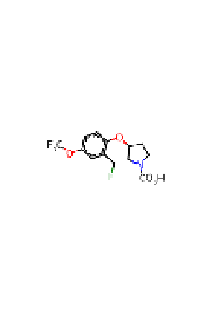 O=C(O)N1CCC(Oc2ccc(OC(F)(F)F)cc2CF)C1